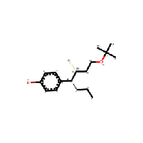 CCC[C@H](c1ccc(Br)cc1)[C@H](F)CCOC(C)(C)C